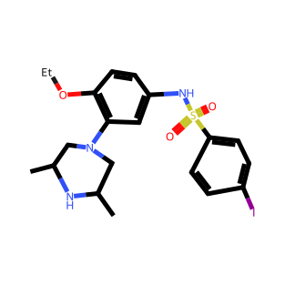 CCOc1ccc(NS(=O)(=O)c2ccc(I)cc2)cc1N1CC(C)NC(C)C1